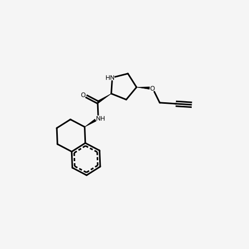 C#CCO[C@@H]1CN[C@H](C(=O)N[C@@H]2CCCc3ccccc32)C1